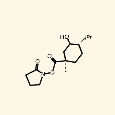 CC(C)[C@@H]1CC[C@@](C)(C(=O)ON2CCCC2=O)C[C@H]1O